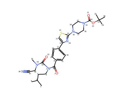 CC(C)CCN(C(=O)c1ccc(-c2csc(N3CCN(C(=O)OC(C)(C)C)CC3)n2)cc1)C(=O)N(C)CC#N